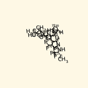 CC[C@H](Nc1cc(C(F)F)c(-c2sc(C(=O)N[C@H](C)C(C)(C)O)nc2C(=O)N2[C@H]3CC[C@H]2CC3)cn1)C(F)(F)F